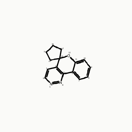 [c]1cc2c(nn1)-c1ccccc1OC21CCCC1